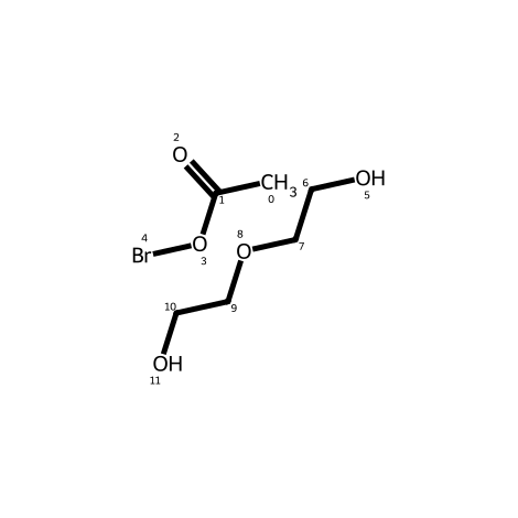 CC(=O)OBr.OCCOCCO